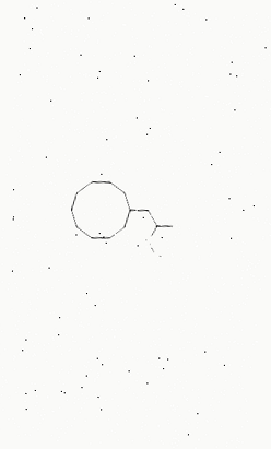 O=C(O)C(CC1CCCCCCCCC1)NP